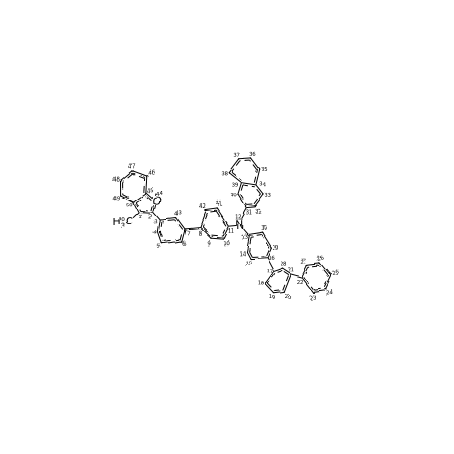 Cc1c(-c2cccc(-c3ccc(N(c4ccc(-c5cccc(-c6ccccc6)c5)cc4)c4ccc5ccccc5c4)cc3)c2)oc2ccccc12